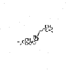 CC(C)CCCC#Cc1ccc(O[C@H]2C[C@H](OC(C)C)C2)cn1